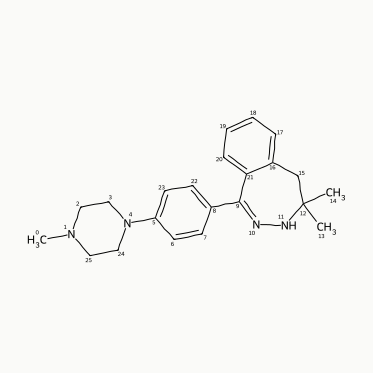 CN1CCN(c2ccc(C3=NNC(C)(C)Cc4ccccc43)cc2)CC1